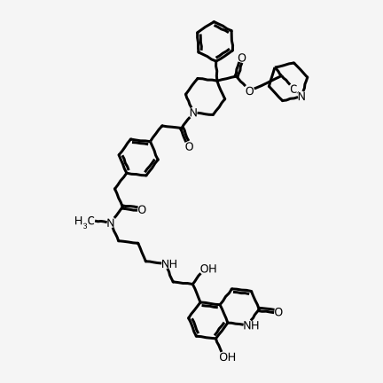 CN(CCCNCC(O)c1ccc(O)c2[nH]c(=O)ccc12)C(=O)Cc1ccc(CC(=O)N2CCC(C(=O)OC3CN4CCC3CC4)(c3ccccc3)CC2)cc1